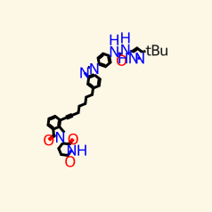 CC(C)(C)c1cc(NC(=O)Nc2ccc(-n3cnc4cc(CCCCCC#Cc5cccc6c5CN(C5CCC(=O)NC5=O)C6=O)ccc43)cc2)[nH]n1